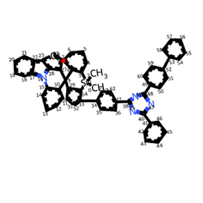 C[Si]1(C)c2ccccc2C2(c3ccccc3-n3c4ccccc4c4cccc2c43)c2cccc(-c3ccc(-c4nc(-c5ccccc5)nc(-c5ccc(-c6ccccc6)cc5)n4)cc3)c21